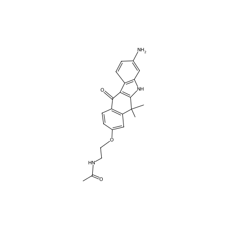 CC(=O)NCCOc1ccc2c(c1)C(C)(C)c1[nH]c3cc(N)ccc3c1C2=O